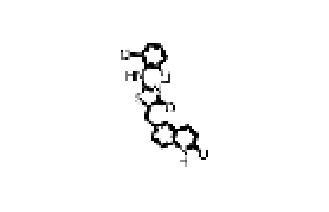 O=C1N=C(Nc2c(Cl)cccc2Cl)SC1=Cc1ccc2[nH]c(=O)ccc2c1